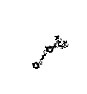 Cc1cc(C2CN=C(C3(C)COC(C)(C)N3C(=O)OC(C)(C)C)S2)ccc1OCCCCOc1ccccc1